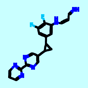 N=C/C=C\Nc1cc(C2CC2c2cnc(-c3ncccn3)nc2)cc(F)c1F